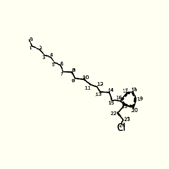 CCCCCCCCCCCCCCCCc1ccccc1CCCl